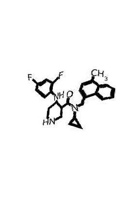 Cc1ccc(CN(C(=O)C2CNCCC2Nc2ccc(F)cc2F)C2CC2)c2ccccc12